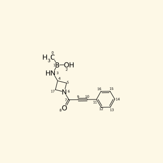 CB(O)NC1CN(C(=O)C#Cc2ccccc2)C1